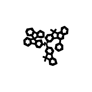 CC1(C)c2ccccc2-c2ccc(N(c3ccc4c(c3)-c3c(-c5ccccc5)cc5ccccc5c3C4(C)C)c3ccc4c(c3)C3(c5ccccc5-c5ccccc53)c3ccccc3-4)cc21